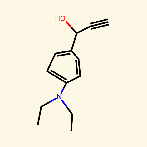 C#CC(O)c1ccc(N(CC)CC)cc1